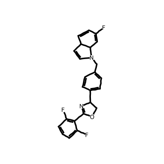 FC1=CC2C(C=C1)C=CN2Cc1ccc(C2COC(c3c(F)cccc3F)=N2)cc1